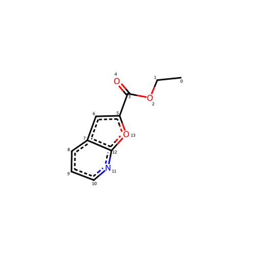 CCOC(=O)c1cc2cccnc2o1